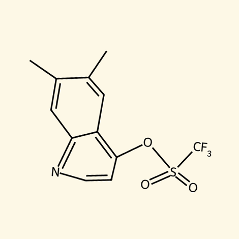 Cc1cc2nccc(OS(=O)(=O)C(F)(F)F)c2cc1C